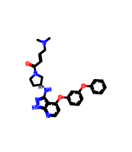 CN(C)CC=CC(=O)N1CC[C@@H](Nc2n[nH]c3nccc(Oc4cccc(Oc5ccccc5)c4)c23)C1